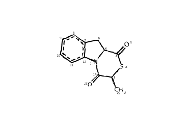 CC1SC(=O)C2Cc3ccccc3N2C1=O